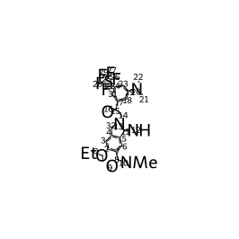 CCOc1cc2c(cc1C(=O)NC)C(=N)N(CC(=O)c1cc(N(C)C)cc(S(F)(F)(F)(F)F)c1)C2